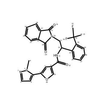 Cn1nccc1-c1cc(C(=O)NC(CN2C(=O)c3ccccc3C2=O)c2ccccc2C(F)(F)F)co1